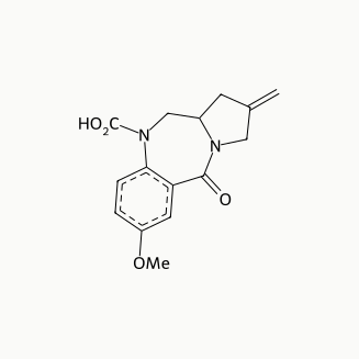 C=C1CC2CN(C(=O)O)c3ccc(OC)cc3C(=O)N2C1